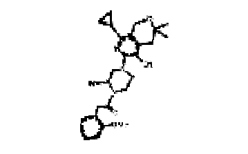 COc1ccccc1CC(=O)N1CCN(c2nc(C3CC3)c3c(c2C#N)CC(C)(C)OC3)CC1C(C)C